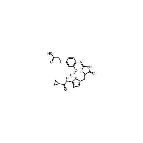 COc1cc(OCC(=O)O)ccc1N=C1NC(=O)C(=Cc2cnc(NC(=O)C3CC3)s2)S1